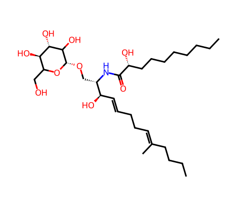 CCCCCCCC[C@@H](O)C(=O)N[C@@H](CO[C@@H]1OC(CO)[C@@H](O)[C@H](O)C1O)[C@H](O)/C=C/CC/C=C(\C)CCCC